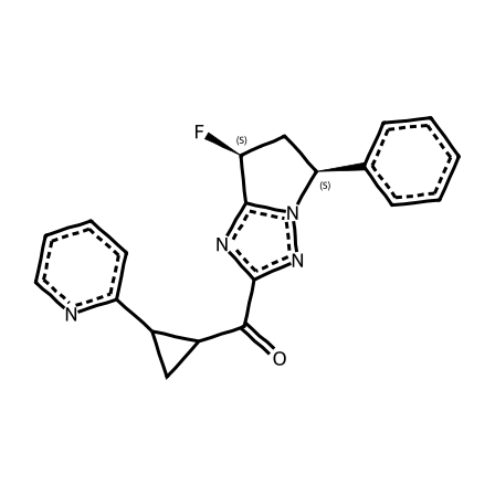 O=C(c1nc2n(n1)[C@H](c1ccccc1)C[C@@H]2F)C1CC1c1ccccn1